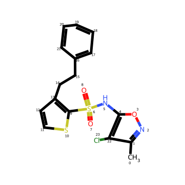 Cc1noc(NS(=O)(=O)c2sccc2CCc2ccccc2)c1Cl